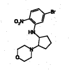 O=[N+]([O-])c1ccc(Br)cc1NC1CCCC1N1CCOCC1